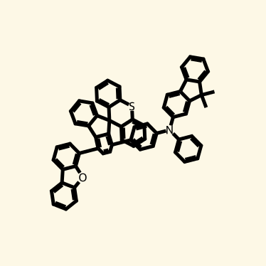 CC1(C)c2ccccc2-c2ccc(N(c3ccccc3)c3ccc(-c4ccc(-c5cccc6c5oc5ccccc56)c5c4C4(c6ccccc6Sc6ccccc64)c4ccccc4-5)cc3)cc21